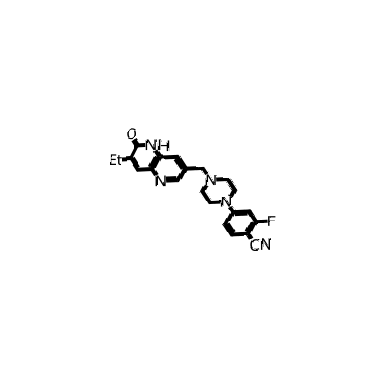 CCc1cc2ncc(CN3CCN(c4ccc(C#N)c(F)c4)CC3)cc2[nH]c1=O